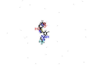 Cc1cc(Nc2nccc(C(F)(F)F)n2)cc(-c2cnc([C@@]3(O)CCC[N+](C(=O)[O-])(C(C)(C)C)CC3)s2)c1